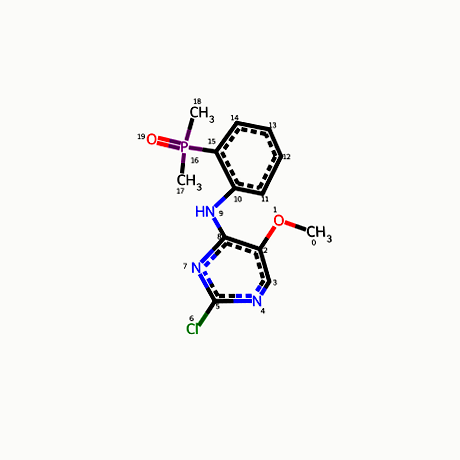 COc1cnc(Cl)nc1Nc1ccccc1P(C)(C)=O